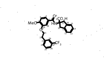 COc1ccc(C(=O)NC2(C(=O)O)Cc3ccccc3C2)cc1OCCc1cccc(C(F)(F)F)c1